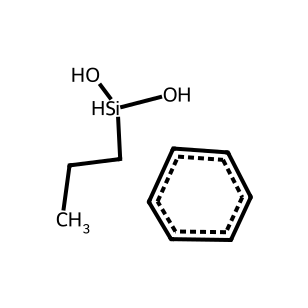 CCC[SiH](O)O.c1ccccc1